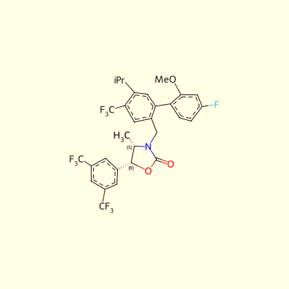 COc1cc(F)ccc1-c1cc(C(C)C)c(C(F)(F)F)cc1CN1C(=O)O[C@H](c2cc(C(F)(F)F)cc(C(F)(F)F)c2)[C@@H]1C